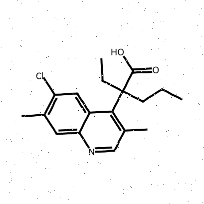 CCCC(CC)(C(=O)O)c1c(C)cnc2cc(C)c(Cl)cc12